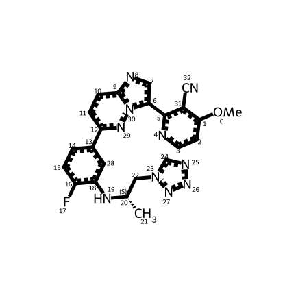 COc1ccnc(-c2cnc3ccc(-c4ccc(F)c(N[C@@H](C)Cn5cnnn5)c4)nn23)c1C#N